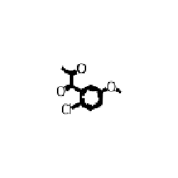 COc1ccc(Cl)c(C(=O)C(C)=O)c1